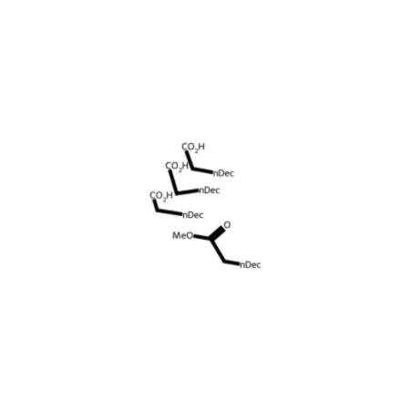 CCCCCCCCCCCC(=O)O.CCCCCCCCCCCC(=O)O.CCCCCCCCCCCC(=O)O.CCCCCCCCCCCC(=O)OC